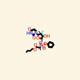 CCCCOC(=O)[C@H](C)N(OC[C@H]1O[C@@H](n2ccc(=O)[nH]c2=O)[C@](C)(F)[C@@H]1O)[PH](=O)Oc1ccccc1